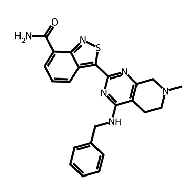 CN1CCc2c(nc(-c3snc4c(C(N)=O)cccc34)nc2NCc2ccccc2)C1